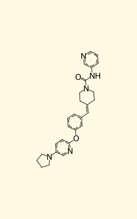 O=C(Nc1cccnc1)N1CCC(=Cc2cccc(Oc3ccc(N4CCCC4)cn3)c2)CC1